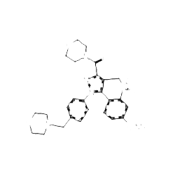 COc1ccc2c(c1)S(=O)(=O)Cc1c(C(=O)N3CCOCC3)nn(-c3ccc(CN4CCOCC4)cc3)c1-2